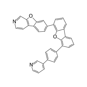 c1cncc(-c2ccc(-c3cccc4c3oc3c(-c5ccc6c(c5)oc5cnccc56)cccc34)cc2)c1